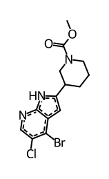 COC(=O)N1CCCC(c2cc3c(Br)c(Cl)cnc3[nH]2)C1